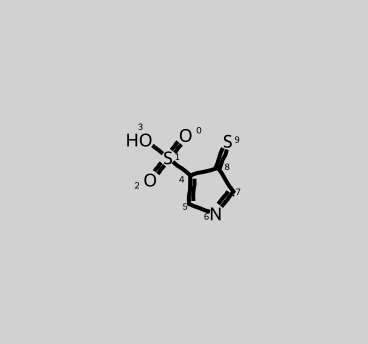 O=S(=O)(O)C1=CN=[C]C1=S